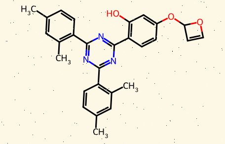 Cc1ccc(-c2nc(-c3ccc(C)cc3C)nc(-c3ccc(OC4C=CO4)cc3O)n2)c(C)c1